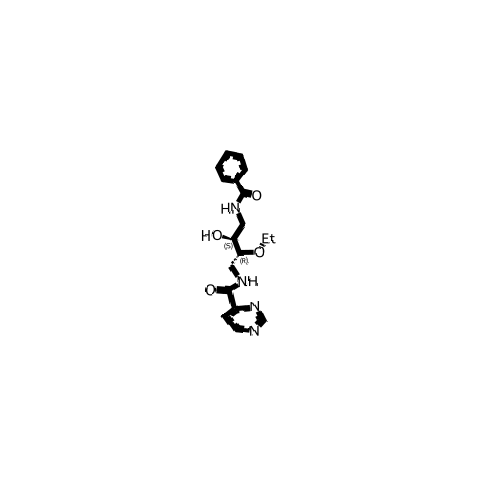 CCO[C@H](CNC(=O)c1ccncn1)[C@@H](O)CNC(=O)c1ccccc1